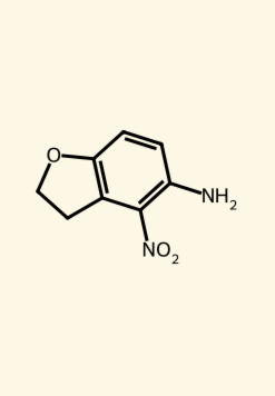 Nc1ccc2c(c1[N+](=O)[O-])CCO2